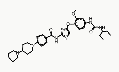 CCC(CC)NC(=O)Nc1ccc(Oc2cnc(NC(=O)c3ccc(N4CCC(N5CCCCC5)CC4)cc3)s2)c(OC)c1